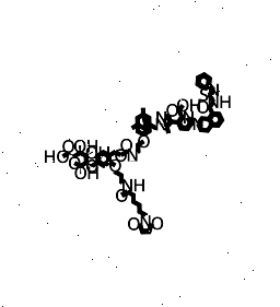 Cc1c(-c2ccc(N3CCc4cccc(C(=O)Nc5nc6ccccc6s5)c4C3)nc2C(=O)O)cnn1CC12CC3(C)CC(C)(C1)CC(OCCN(C)C(=O)OCc1ccc(O[C@@H]4[C@@H](O)[C@H](O)[C@@H](C(=O)O)O[C@H]4O)cc1OCCCNC(=O)CCCCCN1C(=O)C=CC1=O)(C3)C2